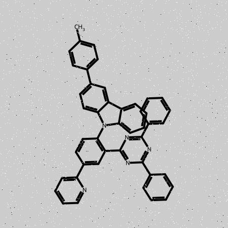 Cc1ccc(-c2ccc3c(c2)c2ccccc2n3-c2ccc(-c3ccccn3)cc2-c2nc(-c3ccccc3)nc(-c3ccccc3)n2)cc1